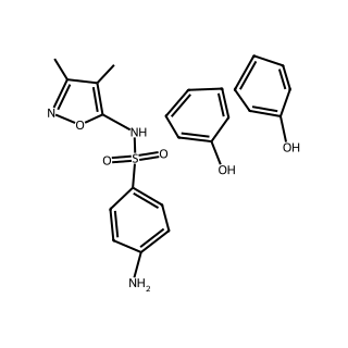 Cc1noc(NS(=O)(=O)c2ccc(N)cc2)c1C.Oc1ccccc1.Oc1ccccc1